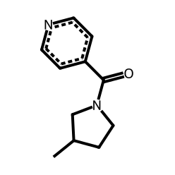 CC1CCN(C(=O)c2ccncc2)C1